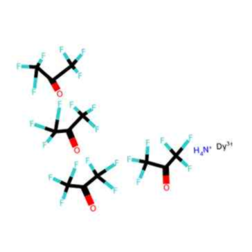 O=C(C(F)(F)F)C(F)(F)F.O=C(C(F)(F)F)C(F)(F)F.O=C(C(F)(F)F)C(F)(F)F.O=C(C(F)(F)F)C(F)(F)F.[Dy+3].[NH4+]